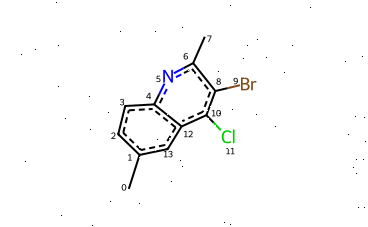 Cc1ccc2nc(C)c(Br)c(Cl)c2c1